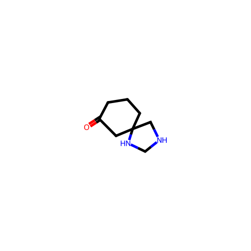 O=C1CCCC2(CNCN2)C1